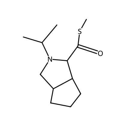 CSC(=O)C1C2CCCC2CN1C(C)C